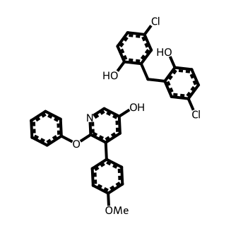 COc1ccc(-c2cc(O)cnc2Oc2ccccc2)cc1.Oc1ccc(Cl)cc1Cc1cc(Cl)ccc1O